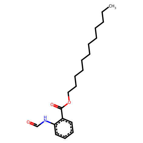 CCCCCCCCCCCCOC(=O)c1ccccc1NC=O